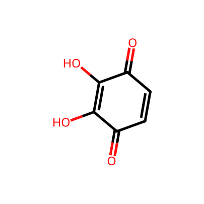 O=C1C=CC(=O)C(O)=C1O